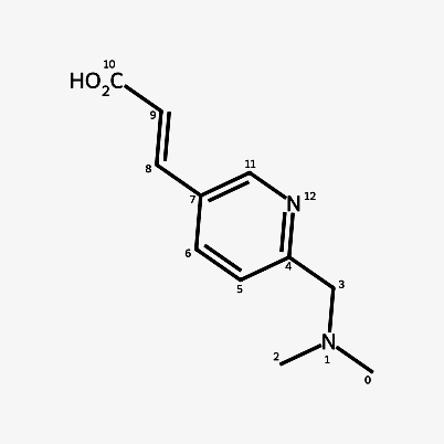 CN(C)Cc1ccc(C=CC(=O)O)cn1